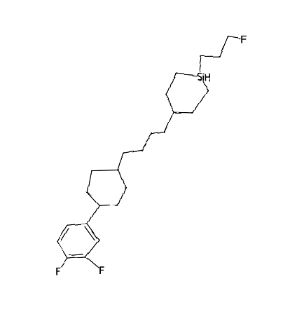 FCCC[SiH]1CCC(CCCCC2CCC(c3ccc(F)c(F)c3)CC2)CC1